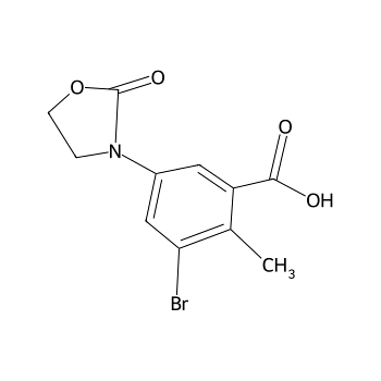 Cc1c(Br)cc(N2CCOC2=O)cc1C(=O)O